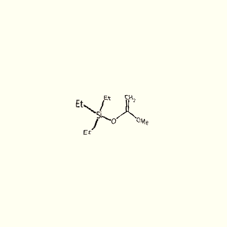 C=C(OC)O[Si](CC)(CC)CC